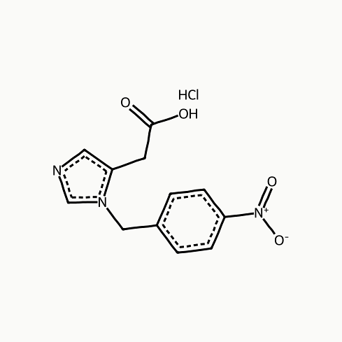 Cl.O=C(O)Cc1cncn1Cc1ccc([N+](=O)[O-])cc1